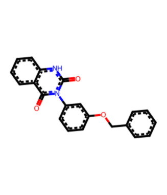 O=c1[nH]c2ccccc2c(=O)n1-c1cccc(OCc2ccccc2)c1